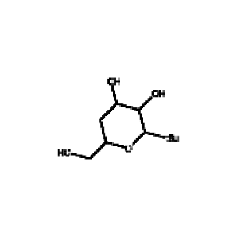 CC(C)(C)C1OC(CO)CC(O)C1O